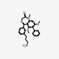 COc1cc2c(c(OC)c1-c1ccccc1)C(c1cccc(CCCN)c1)=NCC(=O)N2C